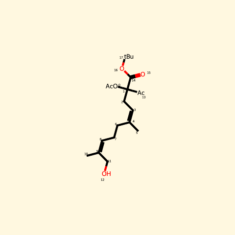 CC(=O)OC(CC=C(C)CCC=C(C)CO)(C(C)=O)C(=O)OC(C)(C)C